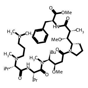 CC[C@H](C)[C@@H]([C@@H](CC(=O)N1CCC[C@H]1[C@H](OC)[C@@H](C)C(=O)N[C@@H](Cc1ccccc1)C(=O)OC)OC)N(C)C(=O)[C@@H](NC(=O)[C@H](C(C)C)N(C)CCCN(C)C)C(C)C